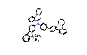 CC1(C)c2ccccc2-c2ccc(N(c3ccc(-c4ccc(-c5ccccc5-c5ccccc5)cc4)cc3)c3cc4ccccc4c4ccccc34)cc21